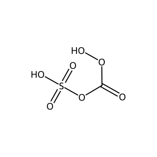 O=C(OO)OS(=O)(=O)O